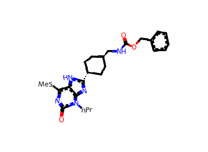 CCCn1c(=O)nc(SC)c2[nH]c([C@H]3CC[C@H](CNC(=O)OCc4ccccc4)CC3)nc21